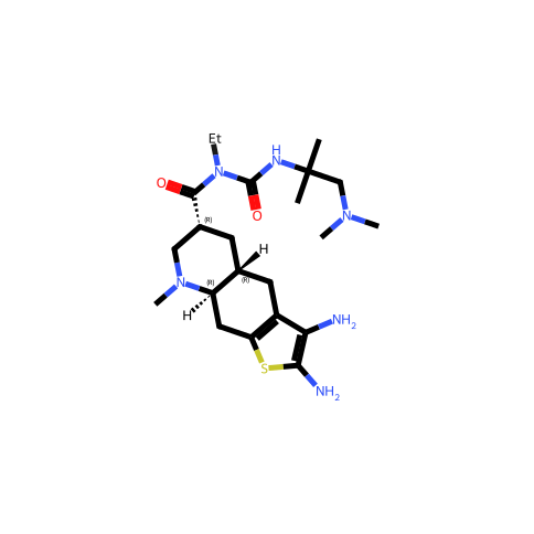 CCN(C(=O)NC(C)(C)CN(C)C)C(=O)[C@@H]1C[C@@H]2Cc3c(sc(N)c3N)C[C@H]2N(C)C1